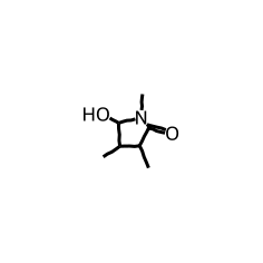 CC1C(=O)N(C)C(O)C1C